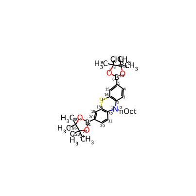 CCCCCCCCN1c2ccc(B3OC(C)(C)C(C)(C)O3)cc2Sc2cc(B3OC(C)(C)C(C)(C)O3)ccc21